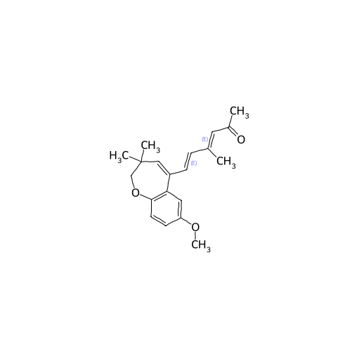 COc1ccc2c(c1)C(/C=C/C(C)=C/C(C)=O)=CC(C)(C)CO2